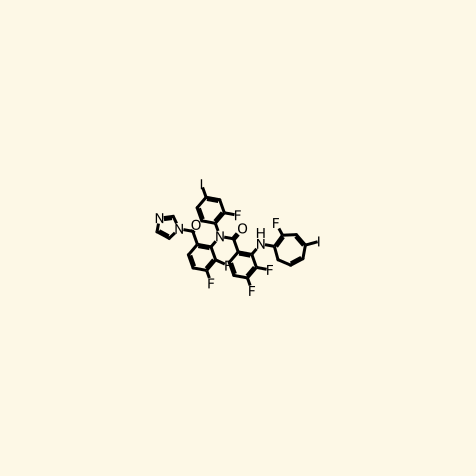 O=C(c1ccc(F)c(F)c1NC1=C(F)C=C(I)C=CC1)N(c1ccc(I)cc1F)c1c(C(=O)n2ccnc2)ccc(F)c1F